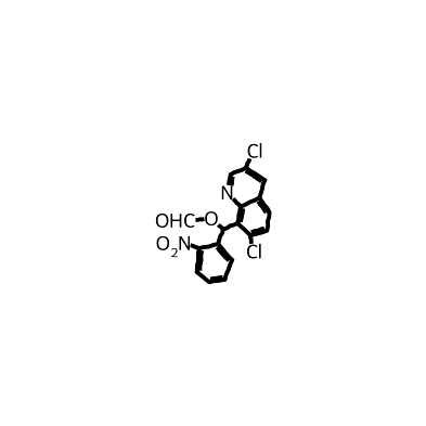 O=COC(c1ccccc1[N+](=O)[O-])c1c(Cl)ccc2cc(Cl)cnc12